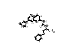 CC(CCc1ccccc1)NC(=O)Nc1ccc2ncc(-c3cn[nH]c3)cc2n1